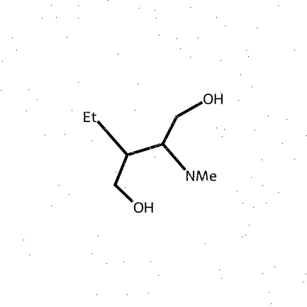 CCC(CO)C(CO)NC